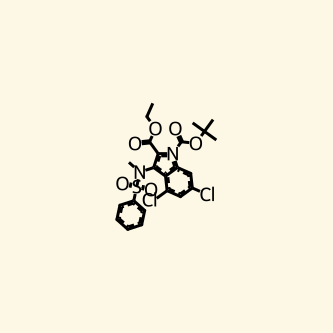 CCOC(=O)c1c(N(C)S(=O)(=O)c2ccccc2)c2c(Cl)cc(Cl)cc2n1C(=O)OC(C)(C)C